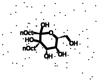 CCCCCCCC[C@@]1(O)O[C@H](CO)[C@@H](O)[C@H](O)[C@]1(O)CCCCCCCC